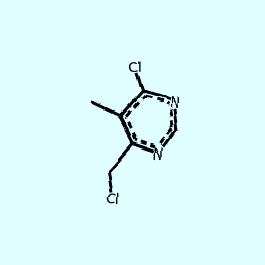 Cc1c(Cl)ncnc1CCl